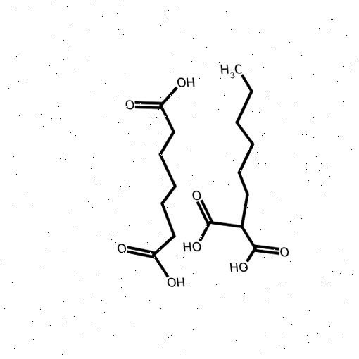 CCCCCCC(C(=O)O)C(=O)O.O=C(O)CCCCCC(=O)O